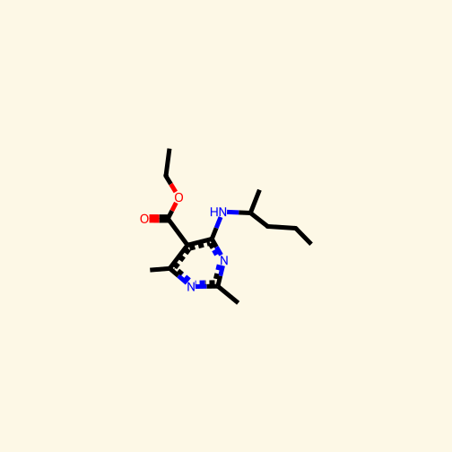 CCCC(C)Nc1nc(C)nc(C)c1C(=O)OCC